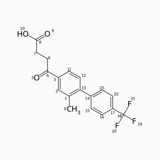 Cc1cc(C(=O)CCC(=O)O)ccc1-c1ccc(C(F)(F)F)cc1